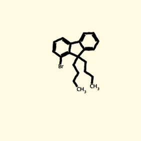 CCCCC1(CCCC)c2ccccc2-c2cccc(Br)c21